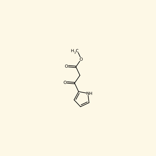 COC(=O)CC(=O)c1ccc[nH]1